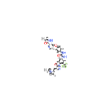 CNC(=O)c1cc(Oc2ccc(NC(=O)Nc3ccc(NC(=O)/C=C/CN(C)C)c(C(F)(F)F)c3)cc2)ccn1